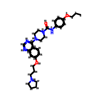 CCCOc1ccc(NC(=O)N2CCN(c3ncnc4cc(OCCCN5CCCC5)ccc34)CC2)cc1